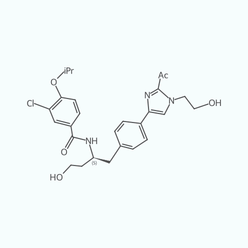 CC(=O)c1nc(-c2ccc(C[C@@H](CCO)NC(=O)c3ccc(OC(C)C)c(Cl)c3)cc2)cn1CCO